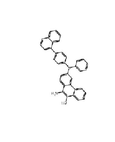 Nc1c(O)c2ccccc2c2cc(N(c3ccccc3)c3ccc(-c4cccc5ccccc45)cc3)ccc12